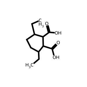 CCC1CCC(CC)C(C(=O)O)C1C(=O)O